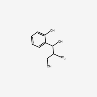 O=[N+]([O-])C(CO)C(O)c1ccccc1O